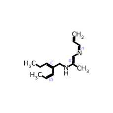 C=C/C=N\C=C(/C)NCC(/C=C\C)=C/CC